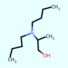 CCCCN(CCCC)C(C)CO